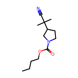 CCCCOC(=O)N1CCC(C(C)(C)C#N)C1